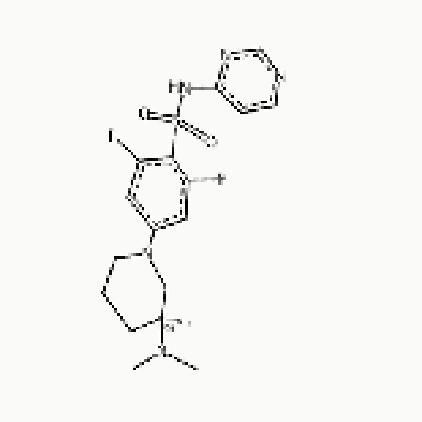 CN(C)[C@@]1(C)CCCN(c2cc(F)c(S(=O)(=O)Nc3ccncn3)c(F)c2)C1